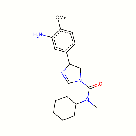 COc1ccc(C2CN(C(=O)N(C)C3CCCCC3)C=N2)cc1N